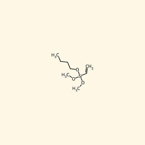 C=C[Si](OC)(OC)OCCCC